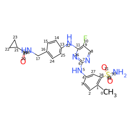 Cc1ccc(Nc2ncc(F)c(Nc3ccc(CNC(=O)C4CC4)cc3)n2)cc1S(N)(=O)=O